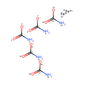 NC(=O)[O-].NC(=O)[O-].NC(=O)[O-].NC(=O)[O-].NC(=O)[O-].[Fe+2].[Fe+3]